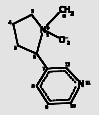 C[N+]1([O-])CCCC1c1cccnc1